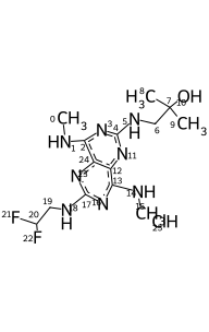 CNc1nc(NCC(C)(C)O)nc2c(NC)nc(NCC(F)F)nc12.Cl